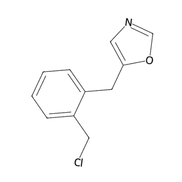 ClCc1ccccc1Cc1cnco1